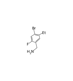 CCc1cc(CN)c(F)cc1Br